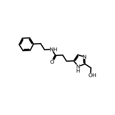 O=C(CCc1cnc(CO)[nH]1)NCCc1ccccc1